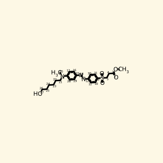 COC(=O)CCS(=O)(=O)c1ccc(N=Nc2ccc(N(C)CCCCCCO)cc2)cc1